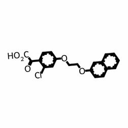 O=C(O)C(=O)c1ccc(OCCOc2ccc3ccccc3c2)cc1Cl